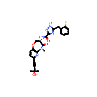 CN1C(=O)[C@@H](NC(=O)c2n[nH]c(Cc3ccccc3F)n2)COc2ccc(C#CC(C)(C)O)nc21